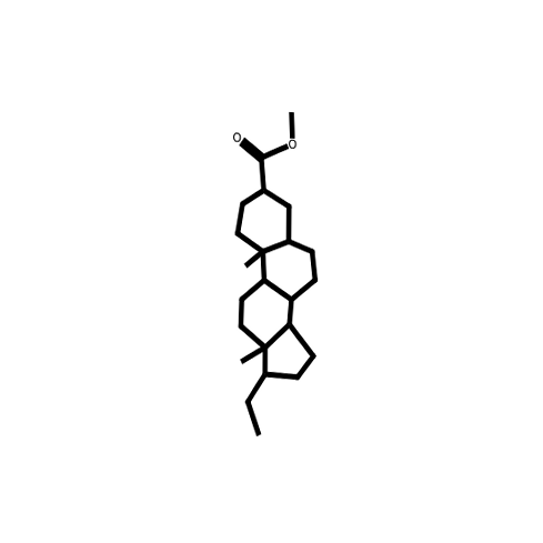 CCC1CCC2C3CCC4CC(C(=O)OC)CCC4(C)C3CCC12C